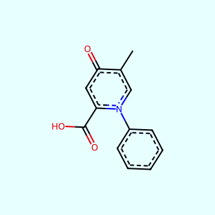 Cc1cn(-c2ccccc2)c(C(=O)O)cc1=O